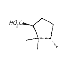 C[C@H]1CC[C@H](C(=O)O)C1(C)C